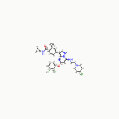 Cc1cc(-c2cnn3c(NCCN4CCC(F)CC4)cc(Oc4cccc(F)c4F)nc23)ccc1C(=O)NC1CC1